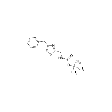 CC(C)(C)OC(=O)NCc1nc(Cc2ccccc2)cs1